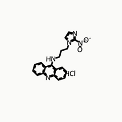 Cl.O=[N+]([O-])c1nccn1CCCNc1c2ccccc2nc2ccccc12